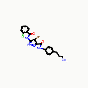 NCCCc1ccc(NC(=O)c2n[nH]c(NC(=O)c3ccccc3Cl)c2Br)cc1